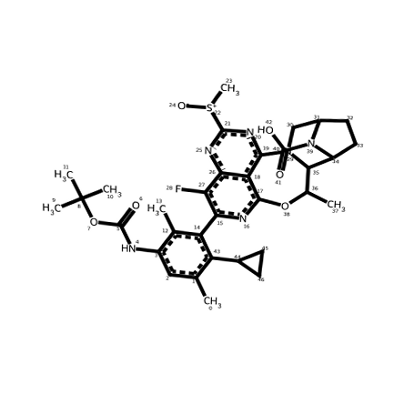 Cc1cc(NC(=O)OC(C)(C)C)c(C)c(-c2nc3c4c(nc([S+](C)[O-])nc4c2F)N2CC4CCC(C2C(C)O3)N4C(=O)O)c1C1CC1